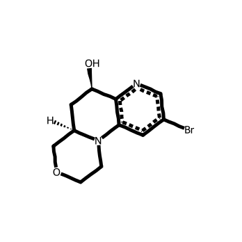 O[C@@H]1C[C@@H]2COCCN2c2cc(Br)cnc21